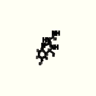 Cc1ccc2c(c1)C(C)NC(NC=N)=N2